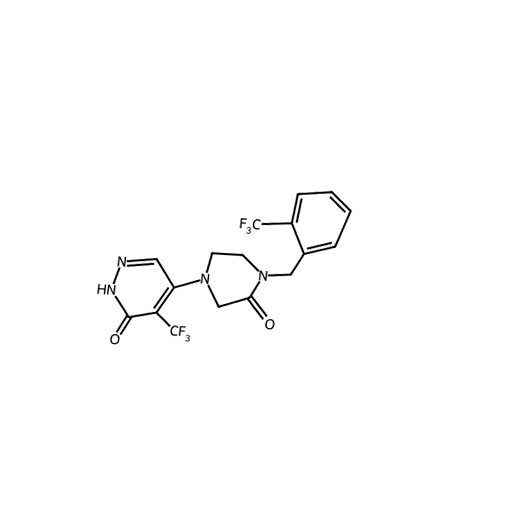 O=C1CN(c2cn[nH]c(=O)c2C(F)(F)F)CCN1Cc1ccccc1C(F)(F)F